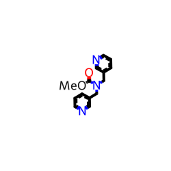 COC(=O)N(Cc1cccnc1)Cc1cccnc1